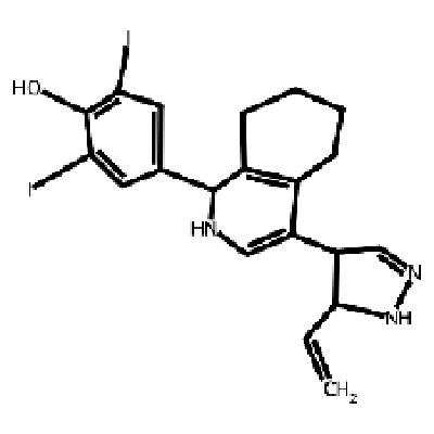 C=CC1NN=CC1C1=CNC(c2cc(I)c(O)c(I)c2)C2=C1CCCC2